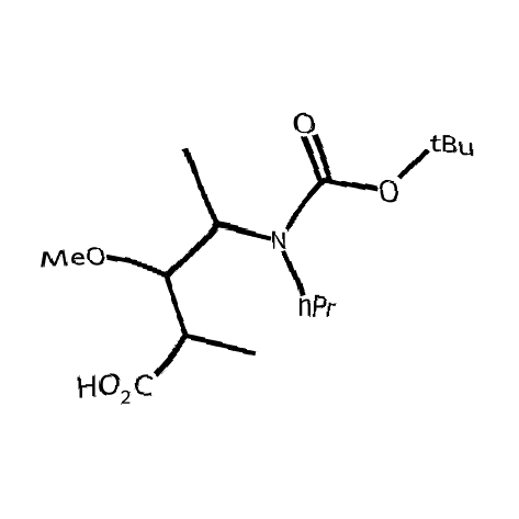 CCCN(C(=O)OC(C)(C)C)C(C)C(OC)C(C)C(=O)O